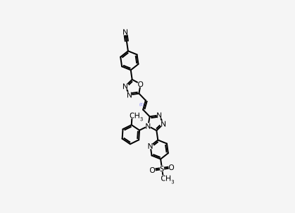 Cc1ccccc1-n1c(/C=C/c2nnc(-c3ccc(C#N)cc3)o2)nnc1-c1ccc(S(C)(=O)=O)cn1